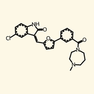 CN1CCCN(C(=O)c2cccc(-c3ccc(C=C4C(=O)Nc5ccc(Cl)cc54)o3)c2)CC1